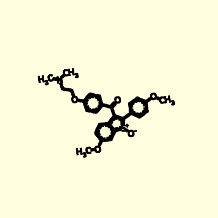 COc1ccc(-c2c(C(=O)c3ccc(OCCN(C)C)cc3)c3ccc(OC)cc3[s+]2[O-])cc1